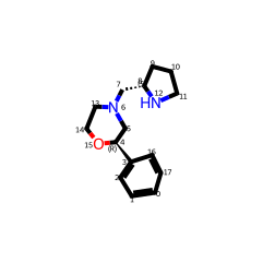 c1ccc([C@@H]2CN(C[C@@H]3CCCN3)CCO2)cc1